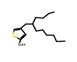 CCCCCCC(CCCC)Cc1cs[c]([SnH])c1